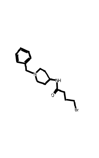 O=C(CCCBr)NC1CCN(Cc2ccccc2)CC1